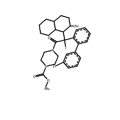 CC(C)(C)OC(=O)N1CCN(C(=O)C(I)(c2ccccc2-c2cccc(Cl)c2)C2C(O)CCC3CCCCC32)CC1